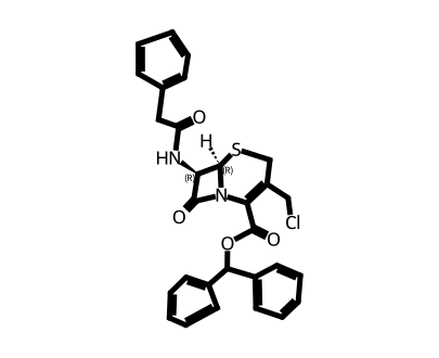 O=C(Cc1ccccc1)N[C@@H]1C(=O)N2C(C(=O)OC(c3ccccc3)c3ccccc3)=C(CCl)CS[C@H]12